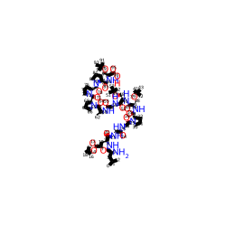 CC(C)C[C@H](N)C(=O)N[C@@H](CCC(=O)OC(C)(C)C)C(=O)NCC(=O)NCC(=O)N1CCC[C@H]1C(=O)N[C@@H](COC(C)(C)C)C(=O)N[C@@H](COC(C)(C)C)C(=O)NCC(=O)N[C@@H](C)C(=O)N1CCC[C@H]1C(=O)N1CCC[C@H]1C(=O)N1CCC[C@H]1C(=O)N[C@@H](COC(C)(C)C)C(=O)O